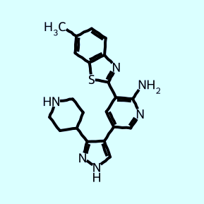 Cc1ccc2nc(-c3cc(-c4c[nH]nc4C4CCNCC4)cnc3N)sc2c1